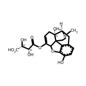 CN1CCC23c4c5ccc(O)c4OC2C(OC(=O)[C@H](O)[C@@H](O)C(=O)O)=CC[C@@]3(O)[C@H]1C5